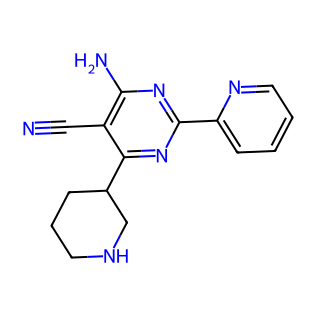 N#Cc1c(N)nc(-c2ccccn2)nc1C1CCCNC1